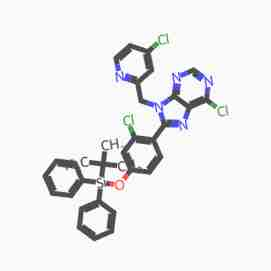 CC(C)(C)[Si](Oc1ccc(-c2nc3c(Cl)ncnc3n2Cc2cc(Cl)ccn2)c(Cl)c1)(c1ccccc1)c1ccccc1